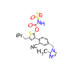 Cc1nccn1Cc1ccc(-c2cc(CC(C)C)sc2OC(=O)N[SH](=O)=O)c(C#N)c1